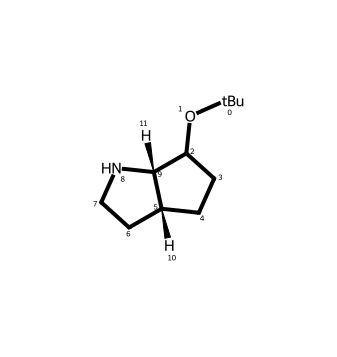 CC(C)(C)OC1CC[C@@H]2CCN[C@H]12